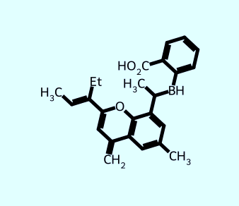 C=C1C=C(/C(=C/C)CC)Oc2c1cc(C)cc2C(C)Bc1ccccc1C(=O)O